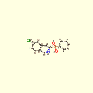 O=S(=O)(c1ccccc1)c1cc2cc(Cl)ccc2cn1